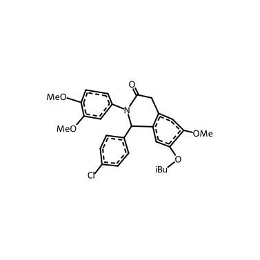 CCC(C)Oc1cc2c(cc1OC)CC(=O)N(c1ccc(OC)c(OC)c1)C2c1ccc(Cl)cc1